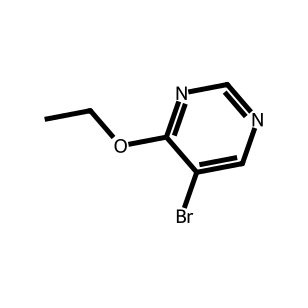 CCOc1ncncc1Br